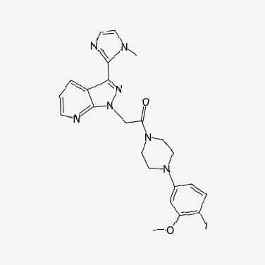 COc1cc(N2CCN(C(=O)Cn3nc(-c4nccn4C)c4cccnc43)CC2)ccc1I